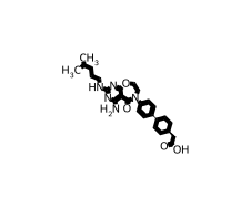 CC(C)CCCNc1nc(N)c2c(n1)OCCN(c1ccc([C@H]3CC[C@H](CC(=O)O)CC3)cc1)C2=O